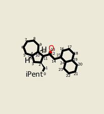 CCCC(C)C[C@H]1C[C@H]2CCCCC[C@H]2C1C(=O)CC1CCCC2CCCCC21